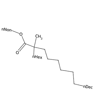 CCCCCCCCCCCCCCCCC(C)(CCCCCC)C(=O)OCCCCCCCCC